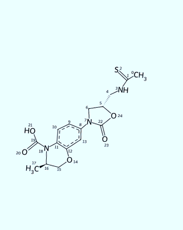 CC(=S)NC[C@H]1CN(c2ccc3c(c2)OC[C@@H](C)N3C(=O)O)C(=O)O1